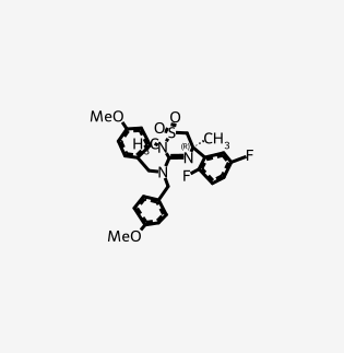 COc1ccc(CN(Cc2ccc(OC)cc2)C2=N[C@](C)(c3cc(F)ccc3F)CS(=O)(=O)N2C)cc1